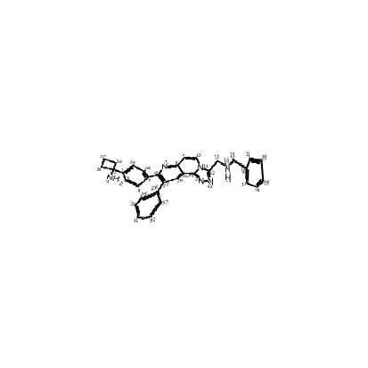 NC1(c2ccc(-c3nc4ccn5c(CNCc6ccccc6)nnc5c4cc3-c3ccccc3)cc2)CCC1